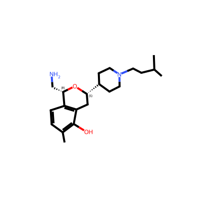 Cc1ccc2c(c1O)C[C@@H](C1CCN(CCC(C)C)CC1)O[C@H]2CN